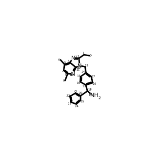 CCc1nc2c(C)cc(C)nc2n1Cc1ccc(C(N)c2ccccc2)cc1